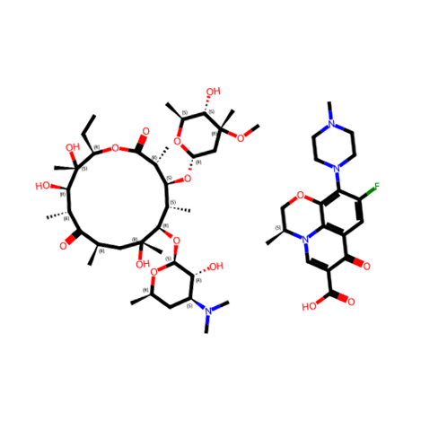 CC[C@H]1OC(=O)[C@H](C)[C@@H](O[C@H]2C[C@@](C)(OC)[C@@H](O)[C@H](C)O2)[C@H](C)[C@@H](O[C@@H]2O[C@H](C)C[C@H](N(C)C)[C@H]2O)[C@](C)(O)C[C@@H](C)C(=O)[C@H](C)[C@@H](O)[C@]1(C)O.C[C@H]1COc2c(N3CCN(C)CC3)c(F)cc3c(=O)c(C(=O)O)cn1c23